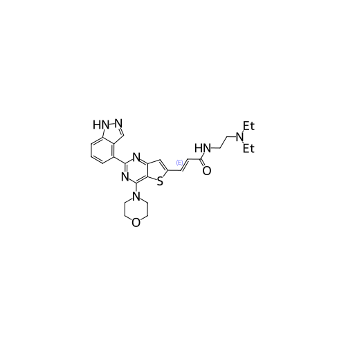 CCN(CC)CCNC(=O)/C=C/c1cc2nc(-c3cccc4[nH]ncc34)nc(N3CCOCC3)c2s1